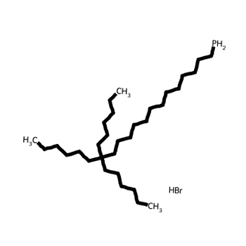 Br.CCCCCCC(CCCCCC)(CCCCCC)CCCCCCCCCCCCCP